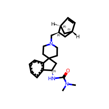 CN(C)C(=O)N[C@H]1CC2(CCN(C[C@@H]3C[C@H]4C=C[C@H]3C4)CC2)c2ccccc21